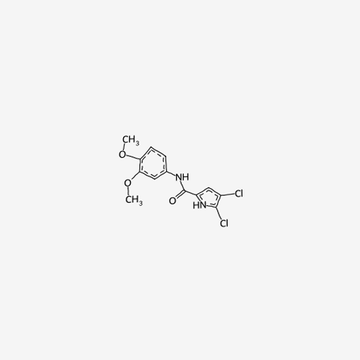 COc1ccc(NC(=O)c2cc(Cl)c(Cl)[nH]2)cc1OC